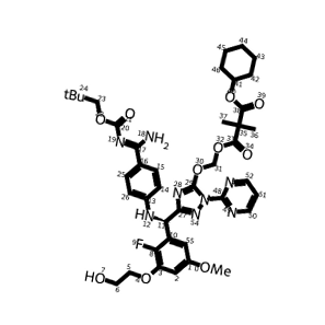 COc1cc(OCCO)c(F)c([C@@H](Nc2ccc(/C(N)=N/C(=O)OCC(C)(C)C)cc2)c2nc(OCOC(=O)C(C)(C)C(=O)OC3CCCCC3)n(-c3ncccn3)n2)c1